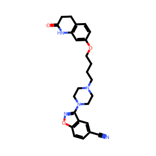 N#Cc1ccc2onc(N3CCN(CCCCOc4ccc5c(c4)NC(=O)CC5)CC3)c2c1